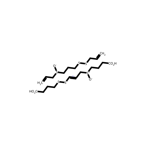 C=CCSSCCC[S+]([O-])CC=C.O=C(O)CCCSS/C=C/C[S+]([O-])CCCC(=O)O